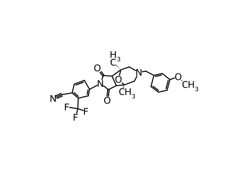 COc1cccc(CN2C[C@@]3(C)O[C@@](C)(C2)C2C(=O)N(c4ccc(C#N)c(C(F)(F)F)c4)C(=O)C23)c1